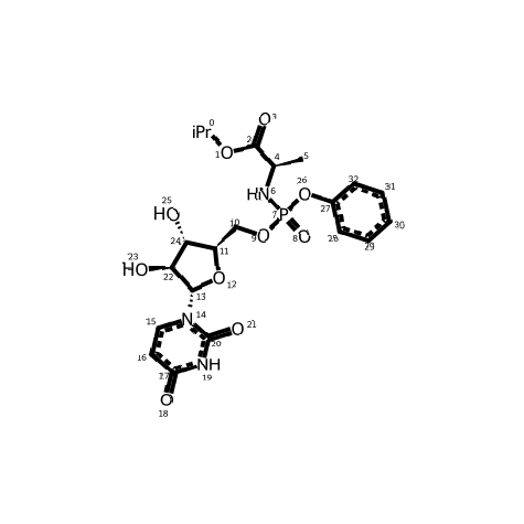 CC(C)OC(=O)[C@@H](C)NP(=O)(OC[C@H]1O[C@H](n2ccc(=O)[nH]c2=O)[C@@H](O)[C@@H]1O)Oc1ccccc1